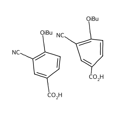 CC(C)COc1ccc(C(=O)O)cc1C#N.CC(C)COc1ccc(C(=O)O)cc1C#N